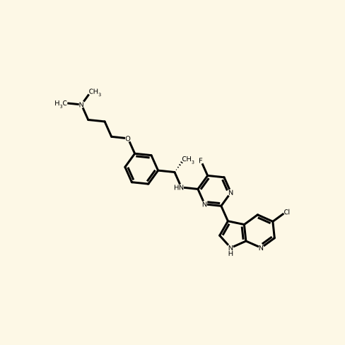 C[C@H](Nc1nc(-c2c[nH]c3ncc(Cl)cc23)ncc1F)c1cccc(OCCCN(C)C)c1